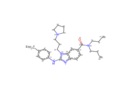 CCOC(=O)c1ccc(Nc2nc3ccc(C(=O)N(CCC(C)C)CCC(C)C)cc3n2CCCN2CCCC2)cc1